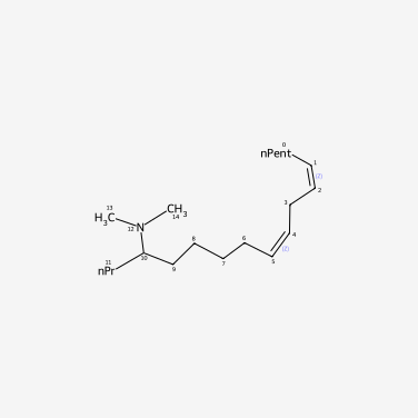 CCCCC/C=C\C/C=C\CCCCC(CCC)N(C)C